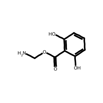 NCOC(=O)c1c(O)cccc1O